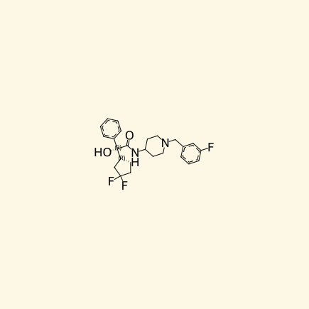 O=C(NC1CCN(Cc2cccc(F)c2)CC1)[C@](O)(c1ccccc1)[C@@H]1CCC(F)(F)C1